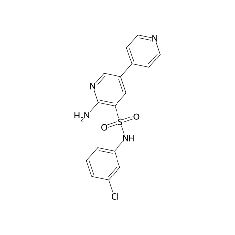 Nc1ncc(-c2ccncc2)cc1S(=O)(=O)Nc1cccc(Cl)c1